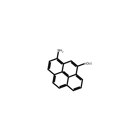 CCCCCCCCc1cc2c(N)ccc3ccc4cccc1c4c32